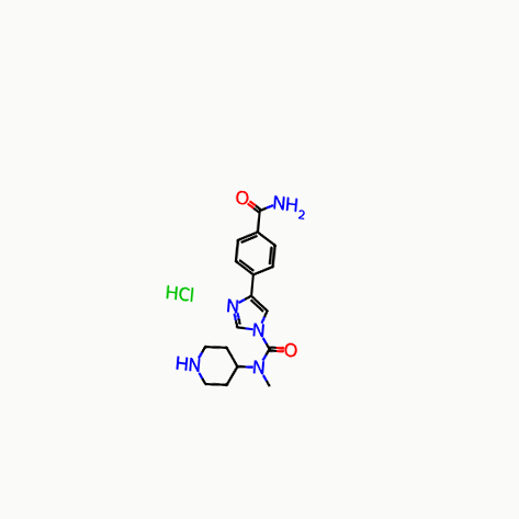 CN(C(=O)n1cnc(-c2ccc(C(N)=O)cc2)c1)C1CCNCC1.Cl